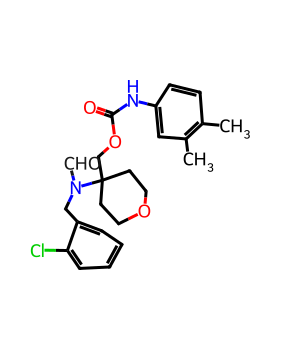 Cc1ccc(NC(=O)OCC2(N(C=O)Cc3ccccc3Cl)CCOCC2)cc1C